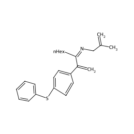 C=C(C)C/N=C(/CCCCCC)C(=C)c1ccc(Sc2ccccc2)cc1